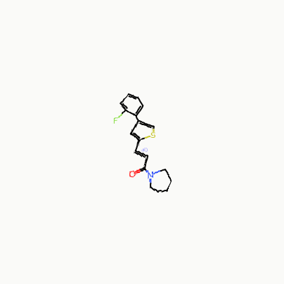 O=C(/C=C/c1cc(-c2ccccc2F)cs1)N1CCCCC1